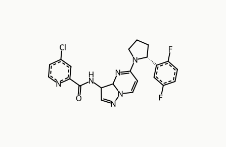 O=C(NC1C=NN2C=CC(N3CCC[C@@H]3c3cc(F)ccc3F)=NC12)c1cc(Cl)ccn1